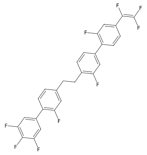 FC(F)=C(F)c1ccc(-c2ccc(CCc3ccc(-c4cc(F)c(F)c(F)c4)c(F)c3)c(F)c2)c(F)c1